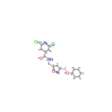 O=C(NCc1cc(COc2ccccc2)no1)c1cc(Cl)nc(Cl)c1